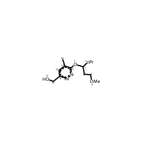 CCCC(CCOC)Oc1nnc(CO)cc1C